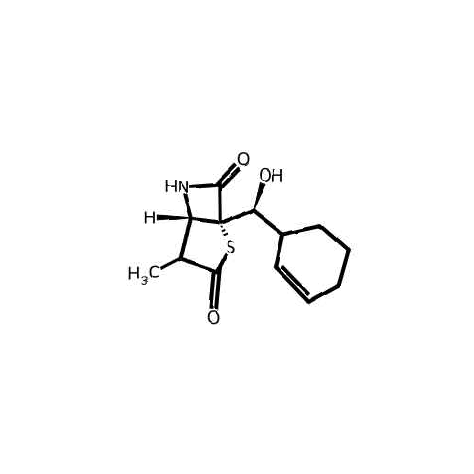 CC1C(=O)S[C@@]2([C@@H](O)C3C=CCCC3)C(=O)N[C@@H]12